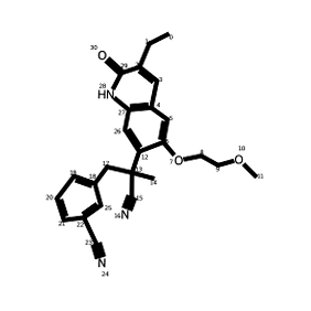 CCc1cc2cc(OCCOC)c(C(C)(C#N)Cc3cccc(C#N)c3)cc2[nH]c1=O